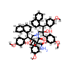 COc1ccc(CC(O)(CN(CC(O)(Cc2ccc(OC)cc2)C(c2ccc(OC)cc2)c2cccc3ccccc23)C(=O)C2(C(N)=O)CCC2)C(c2ccc(OC)cc2)c2cccc3ccccc23)cc1